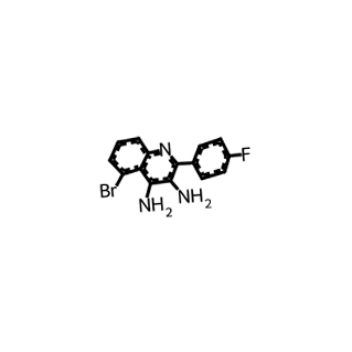 Nc1c(-c2ccc(F)cc2)nc2cccc(Br)c2c1N